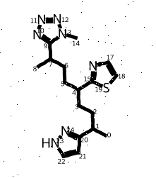 CC(CCC(CCC(C)c1nnnn1C)c1nccs1)c1cc[nH]n1